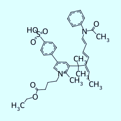 CC/C=C(/C=C/C=C/N(C(C)=O)c1ccccc1)C(C)(C)c1cc(-c2ccc(S(=O)(=O)O)cc2)c[n+](CCCC(=O)OCC)c1C